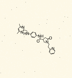 Cc1cc(C)nc(CNc2ccc(NC(=O)C3CC(=O)N(CCc4ccccn4)C3)cc2)n1